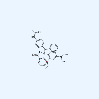 CCOc1cc(N(CC)CC)ccc1C1(N(c2ccccc2)c2ccc(NC(C)=O)cc2)OC(=O)c2ccccc21